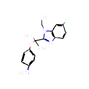 CCn1c(C(C)(C)Oc2ccc(N)cc2)nc2ccc(Cl)cc21